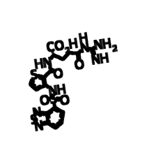 N=C(N)NC(=O)CC[C@H](NC(=O)c1sccc1NS(=O)(=O)c1cccc2nsnc12)C(=O)O